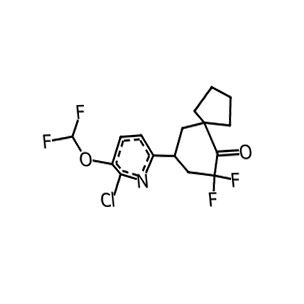 O=C1C(F)(F)CC(c2ccc(OC(F)F)c(Cl)n2)CC12CCCC2